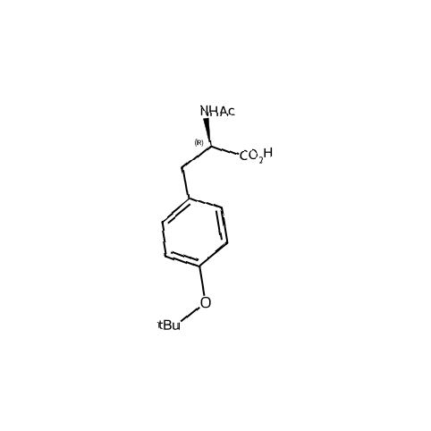 CC(=O)N[C@H](Cc1ccc(OC(C)(C)C)cc1)C(=O)O